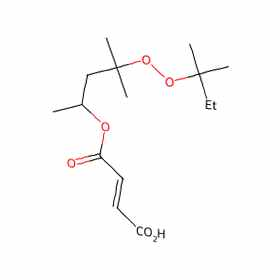 CCC(C)(C)OOC(C)(C)CC(C)OC(=O)C=CC(=O)O